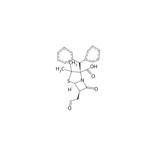 CC1(C)S[C@@H]2[C@H](CC=O)C(=O)N2[C@]1(C(=O)O)C(c1ccccc1)c1ccccc1